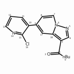 CCCCC(=O)c1cnn2ccc(-c3cccnc3Cl)cc12